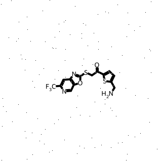 NCc1ccc(C(=O)CSc2nc3cc(C(F)(F)F)ncc3o2)s1